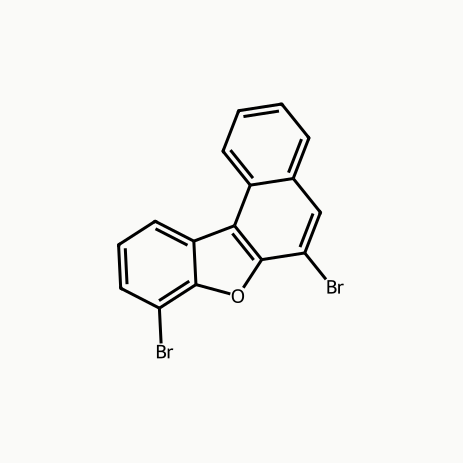 Brc1cccc2c1oc1c(Br)cc3ccccc3c12